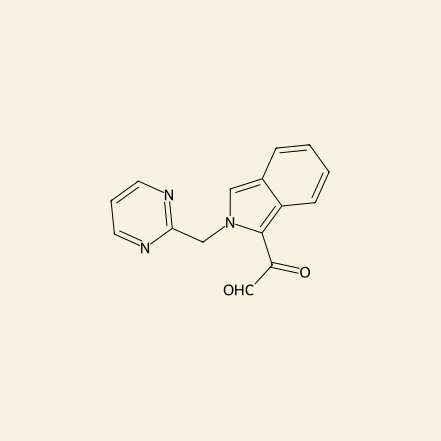 O=CC(=O)c1c2ccccc2cn1Cc1ncccn1